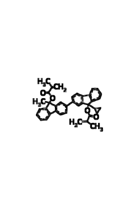 C=C(C)C(=O)OC1(C)c2ccccc2-c2ccc(-c3ccc4c(c3)C(OC(=O)C(=C)C)(C3CC3)c3ccccc3-4)cc21